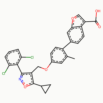 Cc1cc(OCc2c(-c3c(Cl)cccc3Cl)noc2C2CC2)ccc1-c1ccc2c(C(=O)O)coc2c1